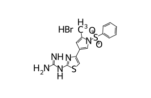 Br.Cc1cc(-c2csc(NC(=N)N)n2)cn1S(=O)(=O)c1ccccc1